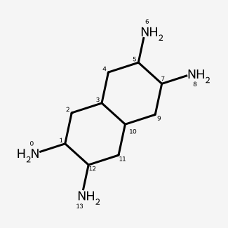 NC1CC2CC(N)C(N)CC2CC1N